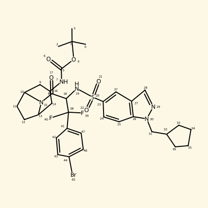 CC(C)(C)OC(=O)NC1CC2CCC(C1)N2C(=O)C(NS(=O)(=O)c1ccc2c(cnn2CC2CCCC2)c1)C(F)(F)c1ccc(Br)cc1